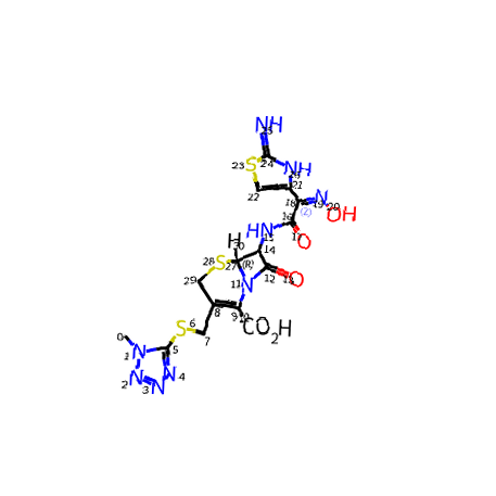 Cn1nnnc1SCC1=C(C(=O)O)N2C(=O)C(NC(=O)/C(=N\O)c3csc(=N)[nH]3)[C@H]2SC1